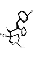 CC1OCC(C)(C(=O)C(=Cc2ccc(Cl)cc2)n2cncn2)CO1